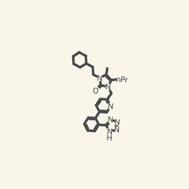 CCCc1c(C)n(CCC2CCCCC2)c(=O)n1Cc1ccc(-c2ccccc2-c2nnn[nH]2)cn1